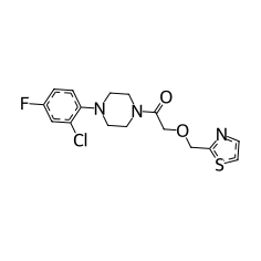 O=C(COCc1nccs1)N1CCN(c2ccc(F)cc2Cl)CC1